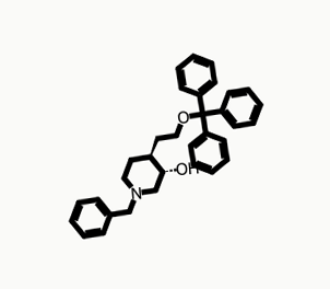 O[C@@H]1CN(Cc2ccccc2)CC[C@H]1CCOC(c1ccccc1)(c1ccccc1)c1ccccc1